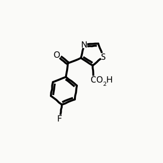 O=C(c1ccc(F)cc1)c1ncsc1C(=O)O